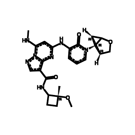 CNc1cc(Nc2cccn([C@]34C5OC[C@@H]3[C@H]54)c2=O)nc2c(C(=O)NC3CC[C@]3(C)OC)cnn12